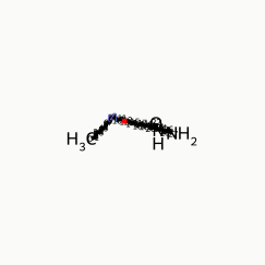 CCCCCCCC/C=C\CCCCCCCCCCCC(=O)NCCCN